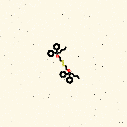 CCCC[Si](OCCSSCCO[Si](CCCC)(c1ccccc1)c1ccccc1)(c1ccccc1)c1ccccc1